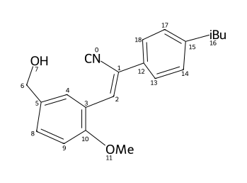 [C-]#[N+]/C(=C\c1cc(CO)ccc1OC)c1ccc(C(C)CC)cc1